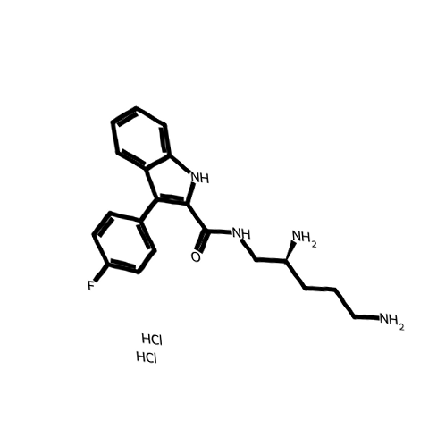 Cl.Cl.NCCC[C@H](N)CNC(=O)c1[nH]c2ccccc2c1-c1ccc(F)cc1